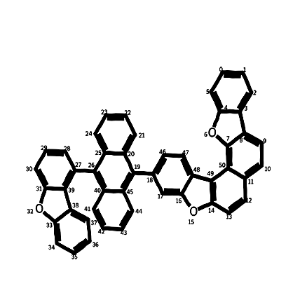 c1ccc2c(c1)oc1c2ccc2ccc3oc4cc(-c5c6ccccc6c(-c6cccc7oc8ccccc8c67)c6ccccc56)ccc4c3c21